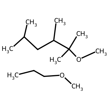 CCCOC.COC(C)(C)C(C)CC(C)C